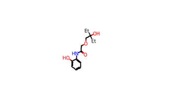 CCC(O)(CC)COCC(=O)Nc1ccccc1O